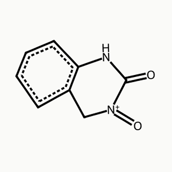 O=C1Nc2ccccc2C[N+]1=O